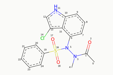 CC(=O)N(C)N(c1cccc2[nH]cc(Cl)c12)S(=O)(=O)c1ccccc1